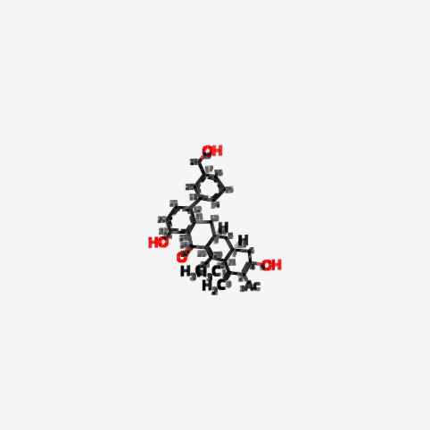 C=C1C(C(C)=O)=C(O)C[C@@H]2C[C@@H]3Cc4c(-c5cccc(CO)c5)ccc(O)c4C(=O)C3=C(C)[C@]12C